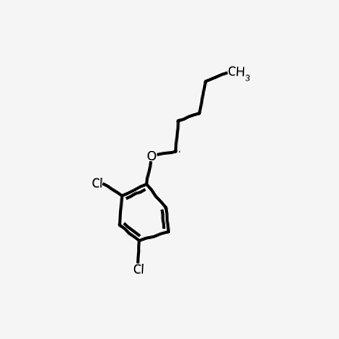 CCCC[CH]Oc1ccc(Cl)cc1Cl